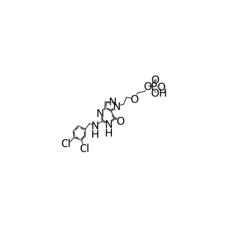 COP(=O)(O)OCCOCCn1ncc2nc(NCc3ccc(Cl)c(Cl)c3)[nH]c(=O)c21